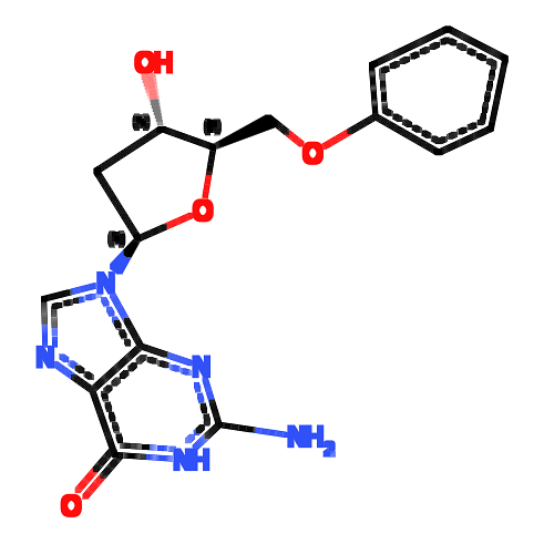 Nc1nc2c(ncn2[C@H]2C[C@H](O)[C@@H](COc3ccccc3)O2)c(=O)[nH]1